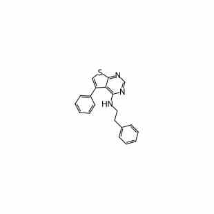 c1ccc(CCNc2ncnc3scc(-c4ccccc4)c23)cc1